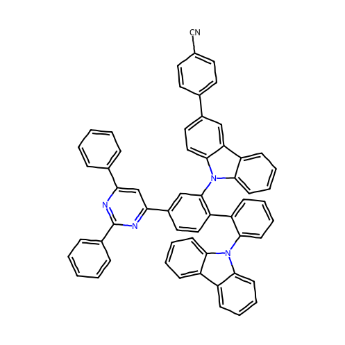 N#Cc1ccc(-c2ccc3c(c2)c2ccccc2n3-c2cc(-c3cc(-c4ccccc4)nc(-c4ccccc4)n3)ccc2-c2ccccc2-n2c3ccccc3c3ccccc32)cc1